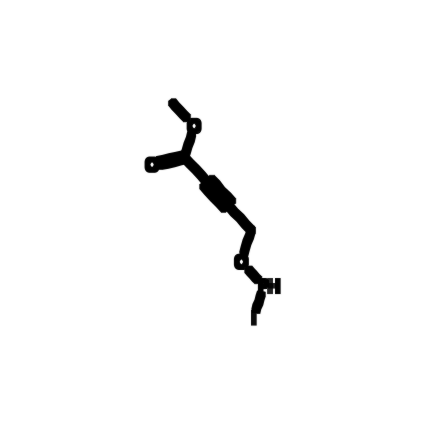 COC(=O)C#CCOPI